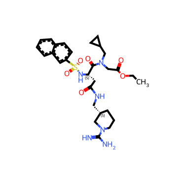 CCOC(=O)CN(CC1CC1)C(=O)[C@H](CC(=O)NC[C@@H]1CCCN(C(=N)N)C1)NS(=O)(=O)c1ccc2ccccc2c1